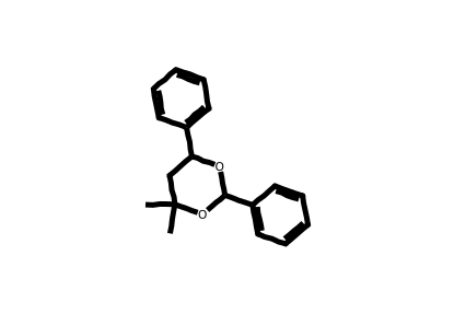 CC1(C)CC(c2ccccc2)OC(c2ccccc2)O1